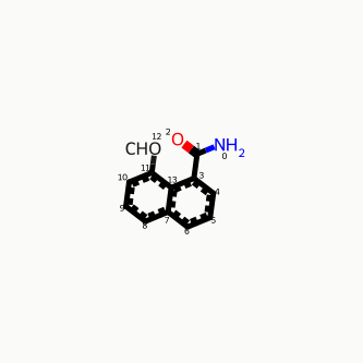 NC(=O)c1cccc2cccc(C=O)c12